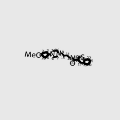 COc1ccc(N2CCN(CCCCNC(=O)C3=Cc4ccccc4SC3)CC2)cc1